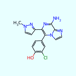 Cn1ccc(-c2nc(N)c3nccn3c2-c2ccc(O)c(Cl)c2)n1